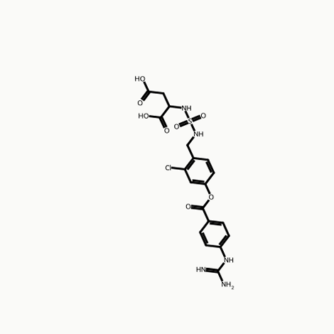 N=C(N)Nc1ccc(C(=O)Oc2ccc(CNS(=O)(=O)NC(CC(=O)O)C(=O)O)c(Cl)c2)cc1